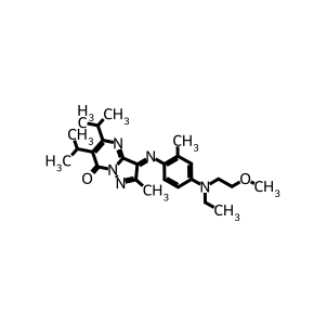 CCN(CCOC)c1ccc(N=C2C(C)=Nn3c2nc(C(C)C)c(C(C)C)c3=O)c(C)c1